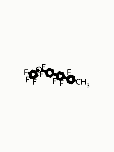 Cc1ccc(-c2ccc(C3CCC(C(F)(F)Oc4cc(F)c(F)c(F)c4)CC3)c(F)c2F)c(F)c1